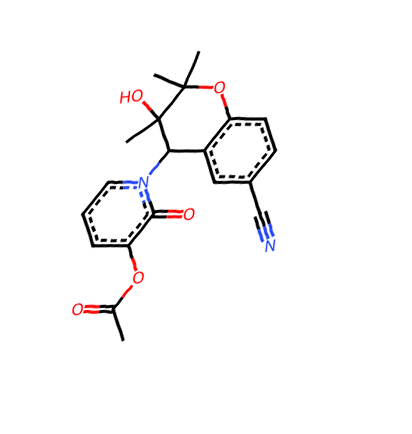 CC(=O)Oc1cccn(C2c3cc(C#N)ccc3OC(C)(C)C2(C)O)c1=O